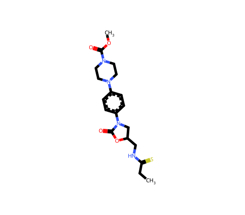 CCC(=S)NCC1CN(c2ccc(N3CCN(C(=O)OC)CC3)cc2)C(=O)O1